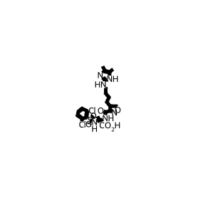 Cc1nc(NCCCCC2CON=C2C(=O)NC(C)(NS(=O)(=O)c2c(Cl)cccc2Cl)C(=O)O)[nH]c1C